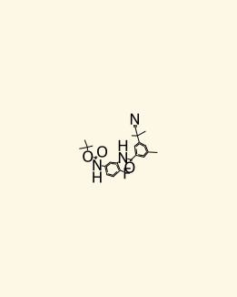 Cc1cc(C(=O)Nc2cc(NC(=O)OC(C)(C)C)ccc2F)cc(C(C)(C)C#N)c1